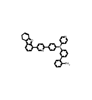 Pc1ccccc1-c1cccc(N(c2ccncc2)c2ccc(-c3ccc(-c4cccc5c6c(oc45)C=CCC6)cn3)cc2)c1